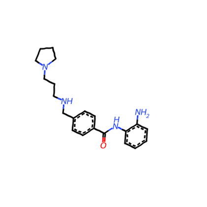 Nc1ccccc1NC(=O)c1ccc(CNCCCN2CCCC2)cc1